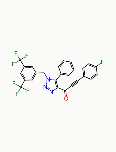 O=C(C#Cc1ccc(F)cc1)c1nnn(Cc2cc(C(F)(F)F)cc(C(F)(F)F)c2)c1-c1ccccc1